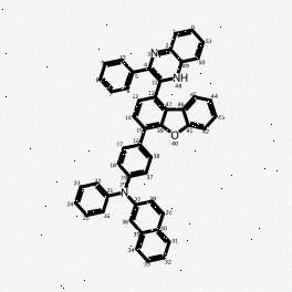 C1=CC2=NC(c3ccccc3)=C(c3ccc(-c4ccc(N(c5ccccc5)c5ccc6ccccc6c5)cc4)c4oc5ccccc5c34)NC2C=C1